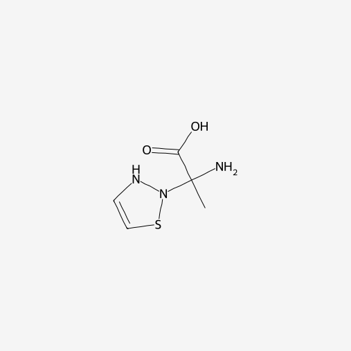 CC(N)(C(=O)O)N1NC=CS1